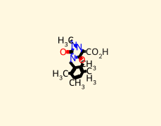 Cc1cc(C)c(C)c(Cn2c(=O)c(C(=O)O)nn(C)c2=O)c1C